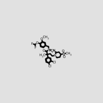 COc1cc(CN(C)C(=O)C(C)(CCN2CCC(S(C)(=O)=O)CC2N)c2ccc(Cl)c(Cl)c2)ccc1OC(F)F